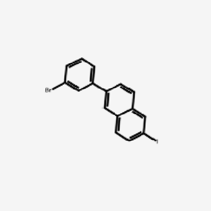 Brc1cccc(-c2[c]c3ccc(I)cc3cc2)c1